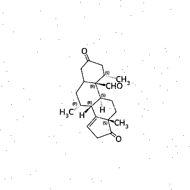 C[C@@H]1CC2CC(=O)C[C@H](C)[C@]2(C=O)[C@H]2CC[C@]3(C)C(=O)CC=C3[C@H]12